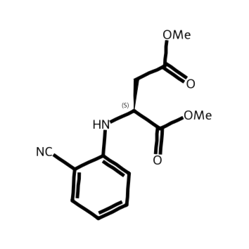 COC(=O)C[C@H](Nc1ccccc1C#N)C(=O)OC